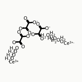 O.O.O.O.O.O.O.O.O.O=C([O-])C(=O)[O-].O=C([O-])C(=O)[O-].O=C([O-])C(=O)[O-].[Ce+3].[Ce+3]